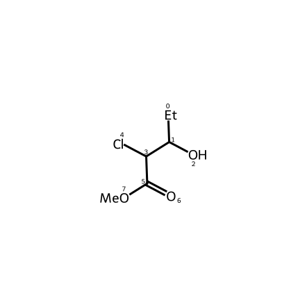 CCC(O)C(Cl)C(=O)OC